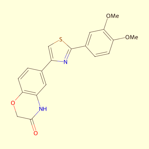 COc1ccc(-c2nc(-c3ccc4c(c3)NC(=O)CO4)cs2)cc1OC